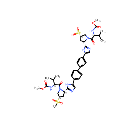 COC(=O)N[C@H](C(=O)N1C[C@@H]([SH](=O)=O)C[C@H]1c1ncc(-c2ccc(-c3ccc(-c4cnc([C@@H]5C[C@H](S(C)(=O)=O)CN5C(=O)[C@@H](NC(=O)OC)C(C)C)[nH]4)cc3)cc2)[nH]1)C(C)C